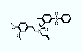 C=CCN(CCc1ccc(OC)c(OC)c1)S(=O)(=O)c1cc(S(=O)(=O)c2ccccc2)ccc1C